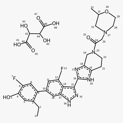 CCc1cc(O)c(F)cc1-c1cc(F)c2c(-c3nc4c([nH]3)CCN(C(=O)CN3CCOC(C)C3)C4)n[nH]c2c1.O=C(O)C(O)C(O)C(=O)O